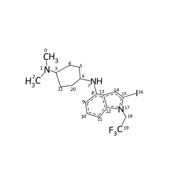 CN(C)C1CCC(Nc2cccc3c2cc(I)n3CC(F)(F)F)CC1